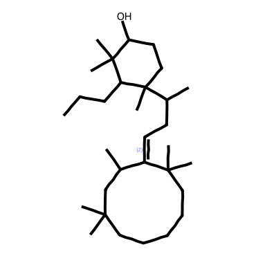 CCCC1C(C)(C)C(O)CCC1(C)C(C)C/C=C1/C(C)CC(C)(C)CCCCCC1(C)C